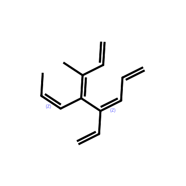 C=C/C=C(/C=C)C(/C=C\C)=C(C)C=C